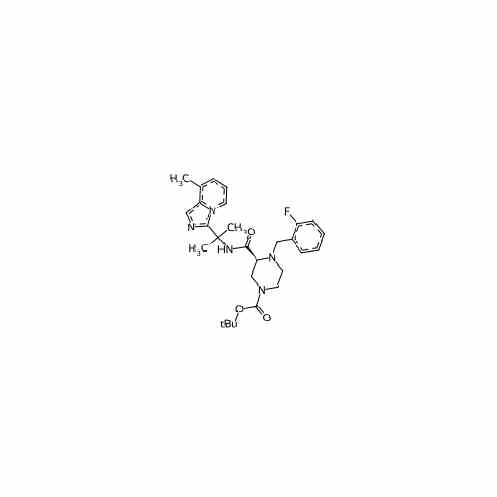 Cc1cccn2c(C(C)(C)NC(=O)[C@@H]3CN(C(=O)OC(C)(C)C)CCN3Cc3ccccc3F)ncc12